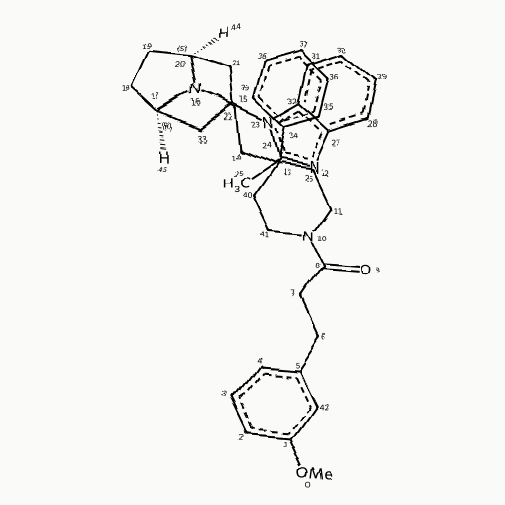 COc1cccc(CCC(=O)N2CCC(CCN3[C@@H]4CC[C@H]3CC(n3c(C)nc5ccccc53)C4)(c3ccccc3)CC2)c1